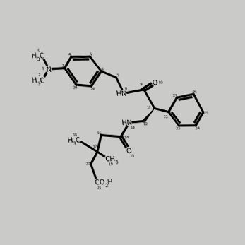 CN(C)c1ccc(CNC(=O)[C@H](CNC(=O)CC(C)(C)CC(=O)O)c2ccccc2)cc1